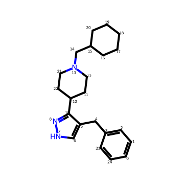 c1ccc(Cc2c[nH]nc2C2CCN(CC3CCCCC3)CC2)cc1